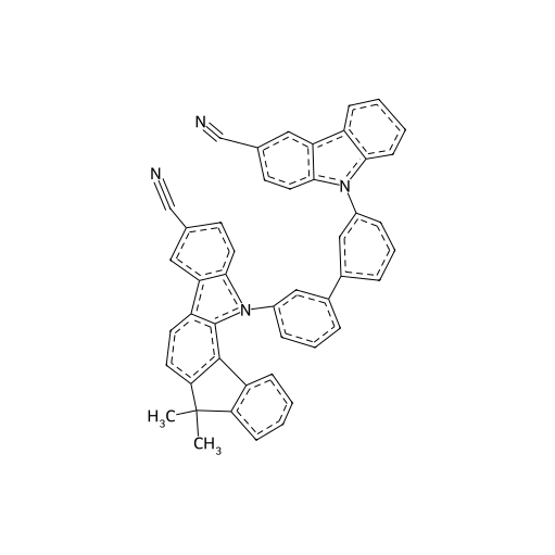 CC1(C)c2ccccc2-c2c1ccc1c3cc(C#N)ccc3n(-c3cccc(-c4cccc(-n5c6ccccc6c6cc(C#N)ccc65)c4)c3)c21